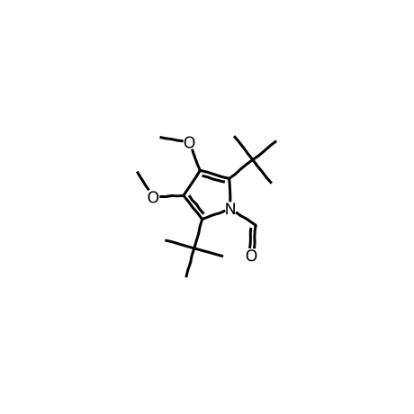 COc1c(OC)c(C(C)(C)C)n(C=O)c1C(C)(C)C